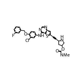 CNC(=O)OC1CNC(C#Cc2cc3ncnc(Nc4ccc(OCc5cccc(F)c5)c(Cl)c4)c3s2)C1